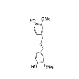 COc1cc(COCc2ccc(O)c(OC)c2)ccc1O